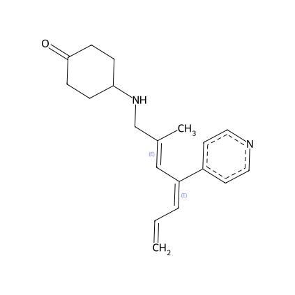 C=C/C=C(\C=C(/C)CNC1CCC(=O)CC1)c1ccncc1